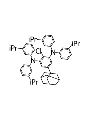 CC(C)c1cccc(N(c2cccc(C(C)C)c2)c2cc(C34CC5CC(CC(C5)C3)C4)cc(N(c3cccc(C(C)C)c3)c3cccc(C(C)C)c3)c2Cl)c1